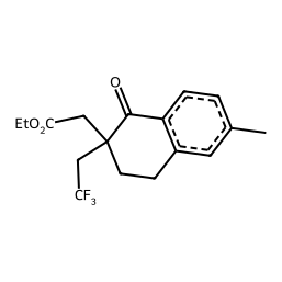 CCOC(=O)CC1(CC(F)(F)F)CCc2cc(C)ccc2C1=O